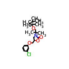 CC(C)(CO[Si](C)(C)C(C)(C)C)N1CC(COc2cccc(Cl)c2)OC1=O